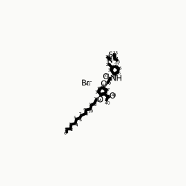 CCCCCCCCCCCCCCOc1ccc(OCC(=O)Nc2cccc(C[n+]3cscc3C)c2)cc1C(C)=O.[Br-]